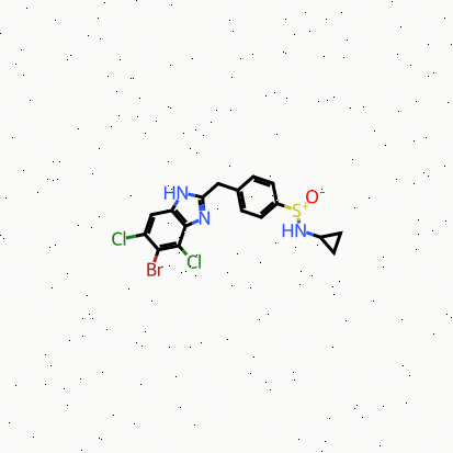 [O-][S+](NC1CC1)c1ccc(Cc2nc3c(Cl)c(Br)c(Cl)cc3[nH]2)cc1